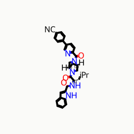 CC(C)C[C@H](NC(=O)c1cc2ccccc2[nH]1)C(=O)N1C[C@@H]2C[C@H]1CN2C(=O)c1ccc(-c2ccc(C#N)cc2)cn1